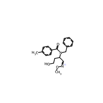 CO/N=C\C(CCO)N(Cc1ccccc1)C(=O)c1ccc(C)cc1